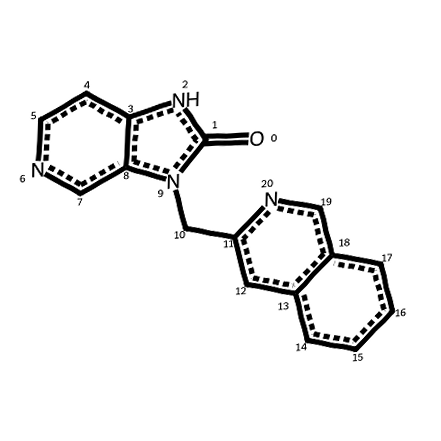 O=c1[nH]c2ccncc2n1Cc1cc2ccccc2cn1